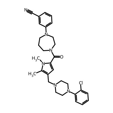 Cc1c(CN2CCN(c3ccccc3Cl)CC2)cc(C(=O)N2CCCN(c3cccc(C#N)c3)CC2)n1C